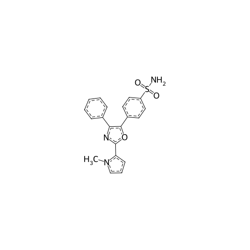 Cn1cccc1-c1nc(-c2ccccc2)c(-c2ccc(S(N)(=O)=O)cc2)o1